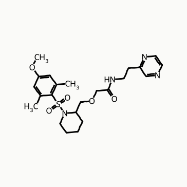 COc1cc(C)c(S(=O)(=O)N2CCCCC2COCC(=O)NCCc2cnccn2)c(C)c1